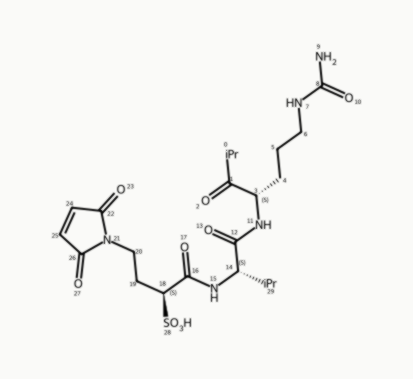 CC(C)C(=O)[C@H](CCCNC(N)=O)NC(=O)[C@@H](NC(=O)[C@H](CCN1C(=O)C=CC1=O)S(=O)(=O)O)C(C)C